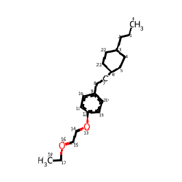 CCCC1CCC(CCc2ccc(OCCOCC)cc2)CC1